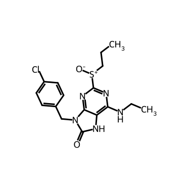 CCC[S+]([O-])c1nc(NCC)c2[nH]c(=O)n(Cc3ccc(Cl)cc3)c2n1